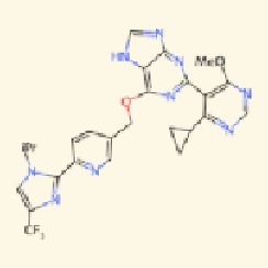 COc1ncnc(C2CC2)c1-c1nc(OCc2ccc(-c3nc(C(F)(F)F)cn3C(C)C)nc2)c2[nH]cnc2n1